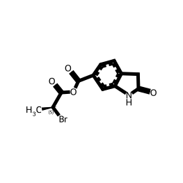 C[C@H](Br)C(=O)OC(=O)c1ccc2c(c1)NC(=O)C2